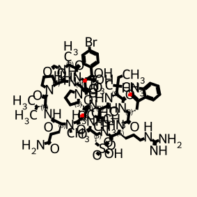 CCC(C)(C)[C@H](NC(=O)[C@H](NC(=O)[C@@H]1CCCN1C(=O)C(NC(=O)[C@@H](C)NC=O)C(O)c1ccc(Br)cc1)C(C)(C)C)C(=O)N[C@H](Cc1c[nH]c2ccccc12)C(=O)N[C@@H](CCCNC(=N)N)C(=O)N[C@H](CS(=O)(=O)O)C(=O)N[C@@H]1C(=O)N(C)[C@@H](CCC(N)=O)C(=O)N[C@H](C(C)C)C(=O)N2CCC[C@H]2C(=O)N[C@H](CC(=O)O)C(=O)O[C@@H]1C